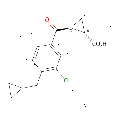 O=C(O)[C@H]1C[C@@H]1C(=O)c1ccc(CC2CC2)c(Cl)c1